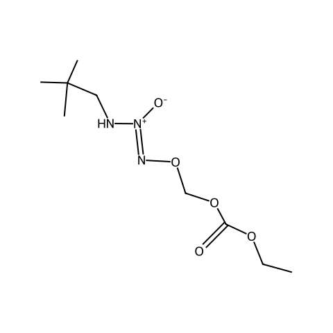 CCOC(=O)OCO/N=[N+](\[O-])NCC(C)(C)C